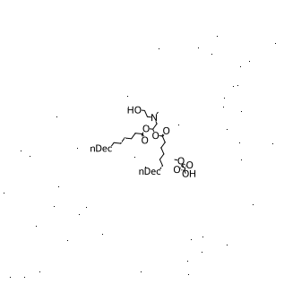 CCCCCCCCCCCCCCCC(=O)OC(CN(C)CCO)OC(=O)CCCCCCCCCCCCCCC.COS(=O)(=O)O